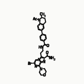 CC(=O)N1c2ccc(-c3ccc(C(=O)NCCc4c(C(N)=O)nc5c(N6CCOCC6)nc(Br)cn45)cc3)cc2CCC1C